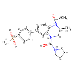 CC(=O)N1c2ccc(-c3ccc(S(C)(=O)=O)cc3)cc2N(C(=O)N2CCCC2)C[C@@H]1C